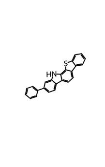 c1ccc(-c2ccc3c(c2)[nH]c2c3ccc3c4ccccc4sc32)cc1